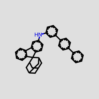 c1ccc(-c2ccc(-c3cccc(Nc4ccc5c(c4)-c4ccccc4C54C5CC6CC(C5)CC4C6)c3)cc2)cc1